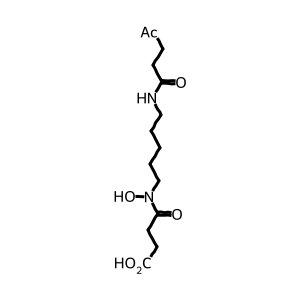 CC(=O)CCC(=O)NCCCCCN(O)C(=O)CCC(=O)O